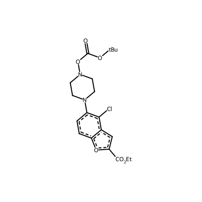 CCOC(=O)c1cc2c(Cl)c(N3CCN(OC(=O)OC(C)(C)C)CC3)ccc2o1